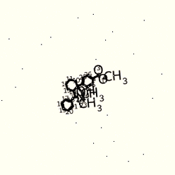 COC(=O)c1ccc(C2(O)CCCCC2C(c2ccccc2)N(C)C)cc1